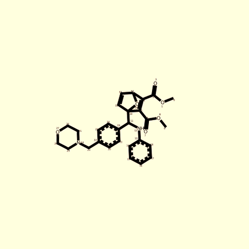 COC(=O)C1=C(C(=O)OC)C2(C(Nc3ccccc3)c3ccc(CN4CCOCC4)cc3)C=CC1O2